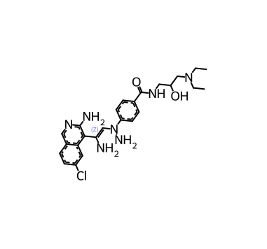 CCN(CC)CC(O)CNC(=O)c1ccc(N(N)/C=C(\N)c2c(N)ncc3ccc(Cl)cc23)cc1